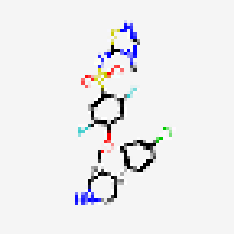 Cn1cnsc1=NS(=O)(=O)c1cc(F)c(OC[C@@H]2CNCC[C@H]2c2ccc(Cl)cc2)cc1F